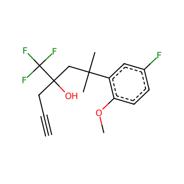 C#CCC(O)(CC(C)(C)c1cc(F)ccc1OC)C(F)(F)F